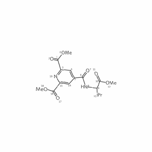 COC(=O)c1cc(C(=O)NC(C(=O)OC)C(C)C)cc(C(=O)OC)n1